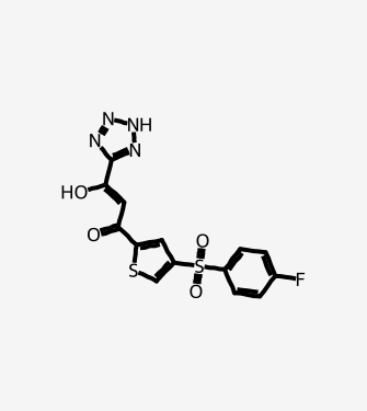 O=C(C=C(O)c1nn[nH]n1)c1cc(S(=O)(=O)c2ccc(F)cc2)cs1